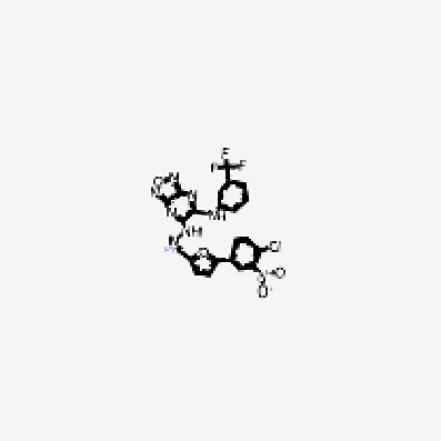 O=[N+]([O-])c1cc(-c2ccc(/C=N\Nc3nc4nonc4nc3Nc3cccc(C(F)(F)F)c3)o2)ccc1Cl